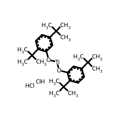 CC(C)(C)c1ccc(C(C)(C)C)c([O][Ti][O]c2cc(C(C)(C)C)ccc2C(C)(C)C)c1.Cl.Cl